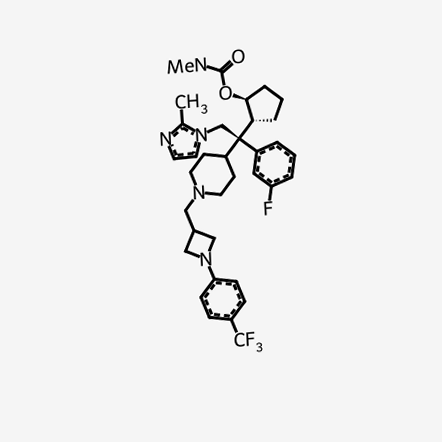 CNC(=O)O[C@H]1CCC[C@@H]1[C@](Cn1ccnc1C)(c1cccc(F)c1)C1CCN(CC2CN(c3ccc(C(F)(F)F)cc3)C2)CC1